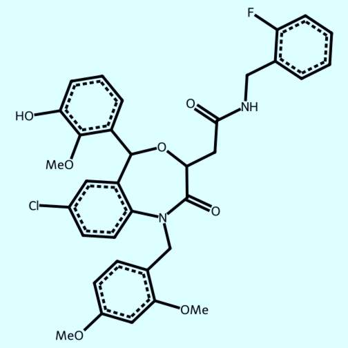 COc1ccc(CN2C(=O)C(CC(=O)NCc3ccccc3F)OC(c3cccc(O)c3OC)c3cc(Cl)ccc32)c(OC)c1